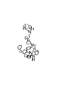 Cc1cc(Oc2ccccc2)ccc1N1C(=O)Nc2ccnc3sc(C(=O)N[C@@H]4CCN(C(=O)/C=C/CN5C[C@@H]6OCCO[C@@H]6C5)C4)c1c23